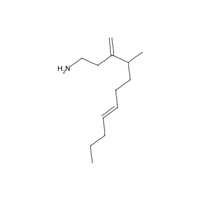 C=C(CCN)C(C)CC/C=C/CCC